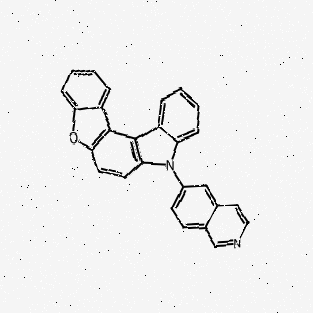 c1ccc2c(c1)oc1ccc3c(c4ccccc4n3-c3ccc4cnccc4c3)c12